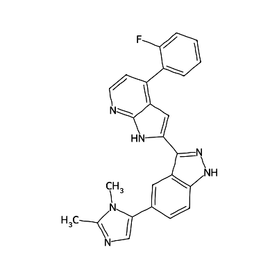 Cc1ncc(-c2ccc3[nH]nc(-c4cc5c(-c6ccccc6F)ccnc5[nH]4)c3c2)n1C